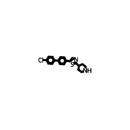 Clc1ccc(-c2ccc(-c3cnc(C4CCNCC4)s3)cc2)cc1